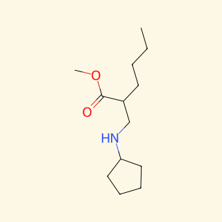 CCCCC(CNC1CCCC1)C(=O)OC